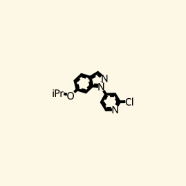 CC(C)Oc1ccc2cnn(-c3ccnc(Cl)c3)c2c1